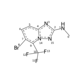 CNc1nc2ccc(Br)c(C(F)(F)F)n2n1